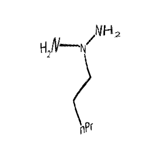 CCCCCN(N)N